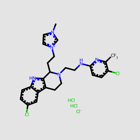 Cl.Cl.Cn1cc[n+](CCC2c3[nH]c4ccc(Cl)cc4c3CCN2CCNc2ccc(Cl)c(C(F)(F)F)n2)c1.[Cl-]